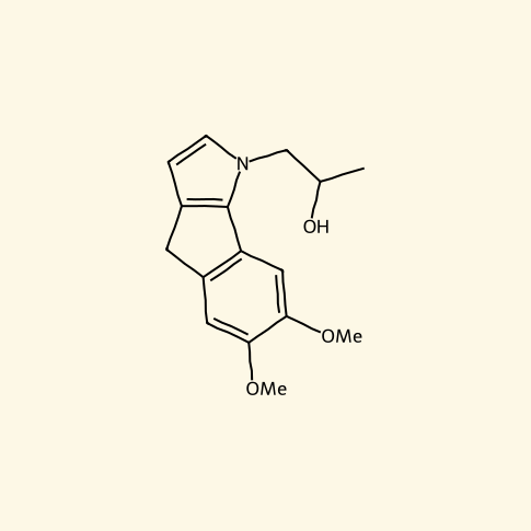 COc1cc2c(cc1OC)-c1c(ccn1CC(C)O)C2